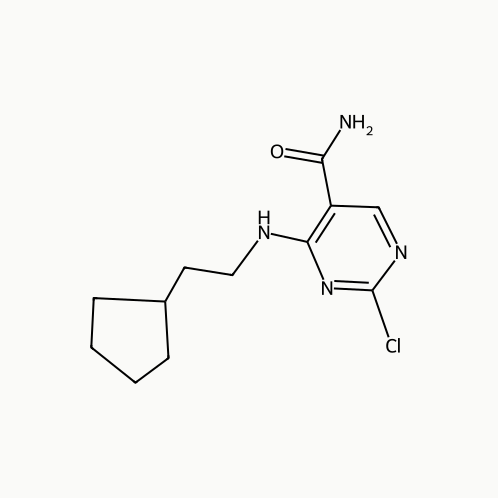 NC(=O)c1cnc(Cl)nc1NCCC1CCCC1